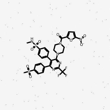 CNS(=O)(=O)c1ccc(-c2c(-c3ccc(S(C)(=O)=O)cc3)nc(C(F)(F)F)nc2N2CCN(C(=O)c3ccc([N+](=O)[O-])o3)CC2)cc1